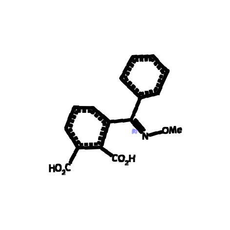 CO/N=C(\c1ccccc1)c1cccc(C(=O)O)c1C(=O)O